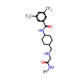 CC(C)NC(=O)CNCC1CCC(NC(=O)c2cc(C(F)(F)F)cc(C(F)(F)F)c2)CC1